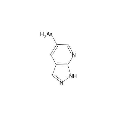 [AsH2]c1cnc2[nH]ncc2c1